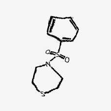 O=S(=O)(c1cc[c]cc1)N1CCSCC1